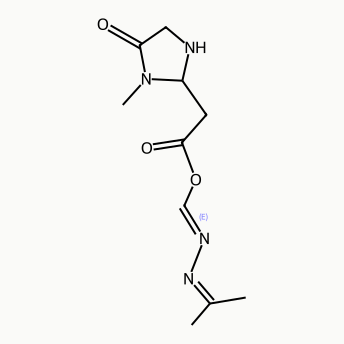 CC(C)=N/N=C/OC(=O)CC1NCC(=O)N1C